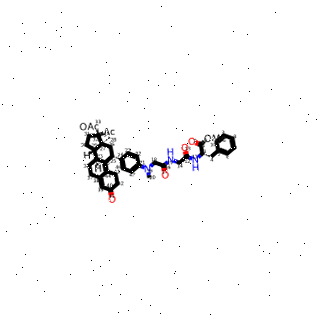 COC(=O)[C@H](Cc1ccccc1)NC(=O)CNC(=O)CN(C)c1ccc([C@H]2C[C@@]3(C)[C@@H](CC[C@]3(OC(C)=O)C(C)=O)[C@@H]3CCC4=CC(=O)CCC4=C32)cc1